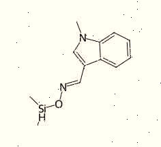 Cn1cc(C=NO[SiH](C)C)c2ccccc21